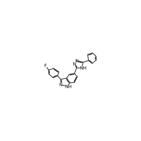 Fc1ccc(-c2n[nH]c3ccc(-c4nnc(-c5ccccc5)[nH]4)cc23)cc1